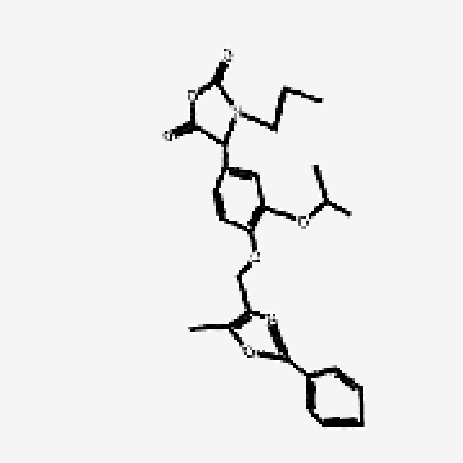 CCCN1C(=O)OC(=O)C1c1ccc(OCc2nc(-c3ccccc3)oc2C)c(OC(C)C)c1